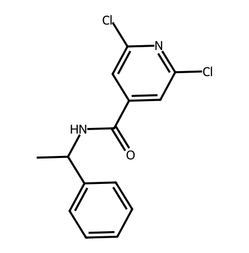 CC(NC(=O)c1cc(Cl)nc(Cl)c1)c1ccccc1